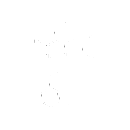 C[C@H](CO)Nc1nc(SCc2cccc(Cl)c2)nc(O)c1SC#N